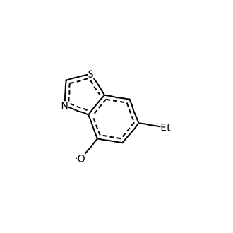 CCc1cc([O])c2ncsc2c1